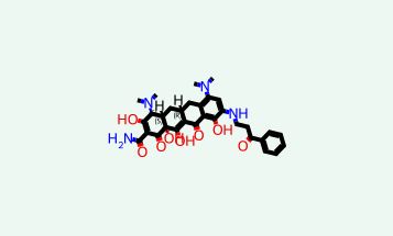 CN(C)c1cc(NCCC(=O)c2ccccc2)c(O)c2c1C[C@H]1C[C@H]3[C@H](N(C)C)C(O)=C(C(N)=O)C(=O)[C@@]3(O)C(O)=C1C2=O